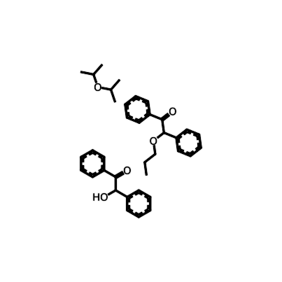 CC(C)OC(C)C.CCCOC(C(=O)c1ccccc1)c1ccccc1.O=C(c1ccccc1)C(O)c1ccccc1